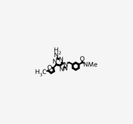 CNC(=O)c1cccc(Cn2nnc3c(-c4ccc(C)o4)nc(N)nc32)c1